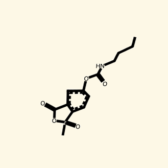 CCCCNC(=O)Oc1ccc2c(c1)C(=O)OI2(C)=O